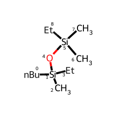 CCCC[Si](C)(CC)O[Si](C)(C)CC